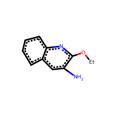 CCOc1nc2ccccc2cc1N